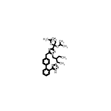 CCC(CC)Cn1nc(C(CC)(OC(C)C)OC(C)C)nc1Cc1ccc(-c2ccccc2-c2nnn[nH]2)cc1